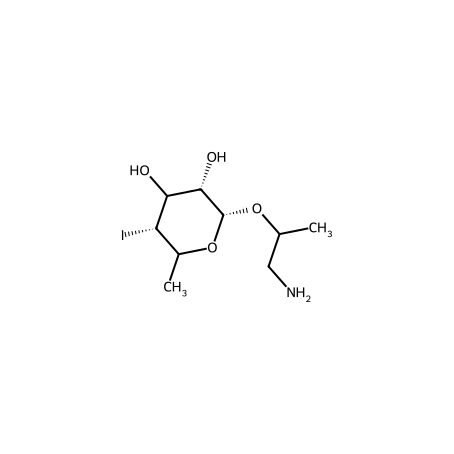 CC(CN)O[C@@H]1OC(C)[C@H](I)C(O)[C@@H]1O